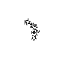 O=C(NCC1CCCO1)c1ccn2nc(-c3cccnc3)cc2c1